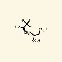 N[C@@H](CC(=O)O)C(=O)O.O=C(O)C(F)(F)F